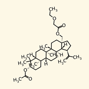 C=C(C)[C@@H]1CC[C@]2(COC(=O)COCC)CC[C@]3(C)[C@H](CC[C@@H]4[C@@]5(C)CC[C@H](OC(C)=O)C(C)(C)[C@@H]5CC[C@]43C)[C@@H]12